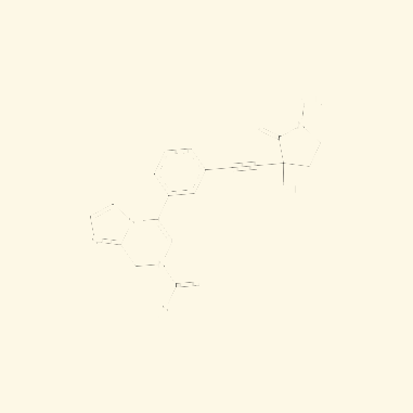 CN1CCC(O)(C#Cc2cccc(C3=CN(C(N)=O)CC4=NC=C[N+]34)c2)C1=O